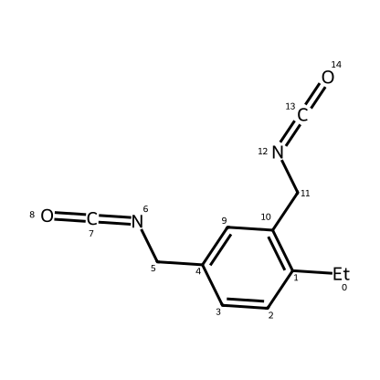 CCc1ccc(CN=C=O)cc1CN=C=O